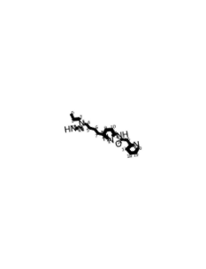 C/C=C/N(CCCCc1ccc(NC(=O)Cc2ccccn2)nn1)N=N